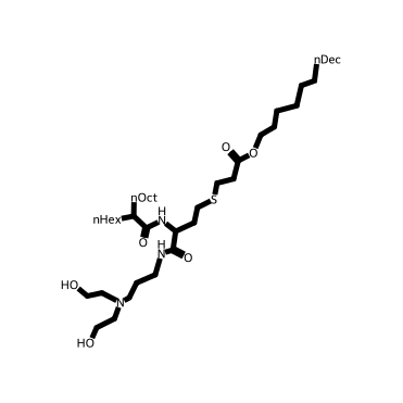 CCCCCCCCCCCCCCCCOC(=O)CCSCCC(NC(=O)C(CCCCCC)CCCCCCCC)C(=O)NCCCN(CCO)CCO